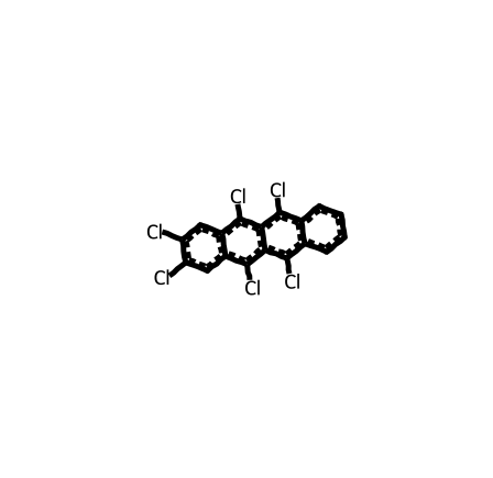 Clc1cc2c(Cl)c3c(Cl)c4ccccc4c(Cl)c3c(Cl)c2cc1Cl